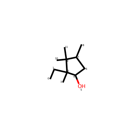 CCC1(C)C(O)CC(C)C1(C)C